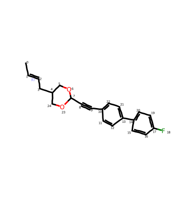 C/C=C/CC1COC(C#Cc2ccc(-c3ccc(F)cc3)cc2)OC1